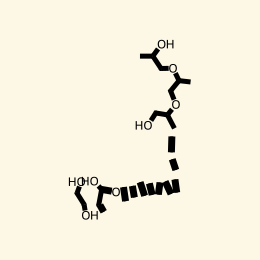 C=C.C=C.C=C.C=C.C=C.C=C.C=C.C=C.C=C.C=CC(=O)O.CC(O)COC(C)COC(C)CO.OCCO